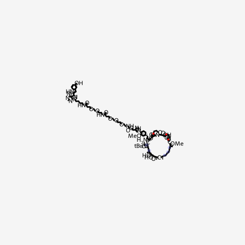 CO[C@H]1C[C@@H]2CC[C@@H](C)[C@@](O)(O2)C(=O)C(=O)N2CCCC[C@H]2C(=O)O[C@H]([C@H](N)C[C@@H]2CC[C@H](n3cc(COC(=O)NCCOCCOCCOCCC(=O)NCCOCCOCCC(=O)NCCCCn4nc(-c5cc6cc(O)ccc6[nH]5)c5c(N)ncnc54)nn3)[C@H](OC)C2)C/C(=N/OC(C)(C)C)[C@H](C)/C=C(\C)[C@@H](O)[C@@H](O)C(=O)[C@H](C)C[C@H](C)/C=C/C=C/C=C/1C